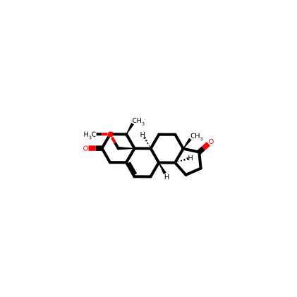 COC[C@]12C(=CC[C@@H]3[C@@H]1CC[C@]1(C)C(=O)CC[C@@H]31)CC(=O)C[C@H]2C